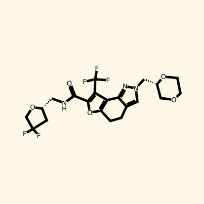 O=C(NC[C@@H]1CC(F)(F)CO1)c1oc2c(c1C(F)(F)F)-c1nn(C[C@H]3COCCO3)cc1CC2